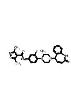 Cc1noc(C)c1C(=O)Nc1ccc(N2CCN(C3C=CC(=O)Nc4ccccc43)C[C@H]2C)c(Cl)c1